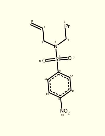 C=CCN(CC(C)C)S(=O)(=O)c1ccc([N+](=O)[O-])cc1